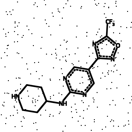 FC(F)(F)c1nc(-c2cnc(NC3CCNCC3)nc2)no1